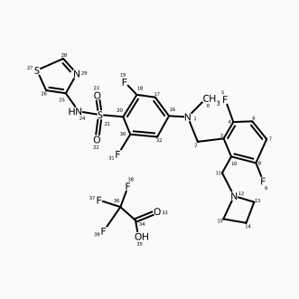 CN(Cc1c(F)ccc(F)c1CN1CCC1)c1cc(F)c(S(=O)(=O)Nc2cscn2)c(F)c1.O=C(O)C(F)(F)F